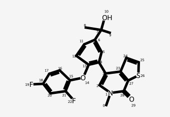 Cn1cc(-c2cc(C(C)(C)O)ccc2Oc2ccc(F)cc2F)c2ccsc2c1=O